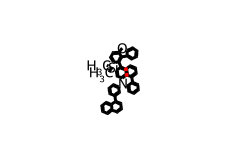 C[Si]1(C)c2cc(N(c3cccc(-c4cccc5ccccc45)c3)c3ccccc3-c3ccccc3)ccc2-c2c1ccc1oc3ccccc3c21